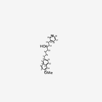 COc1ccc2cc(CCCCC(O)CCc3cccnc3)ccc2c1